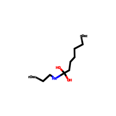 CCCCCCCCCCCCCCCC(O)(O)NCCCCCCCCCCCC